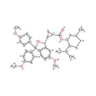 COc1ccc(C(OCC2CC2C(=O)OC2CC(C)CCC2C(C)C)(c2ccc(OC)cc2)c2ccc(OC)cc2)cc1